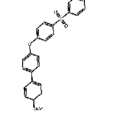 COC1C=CC(c2ccc(Oc3ccc(S(=O)(=O)c4ccc(C)cc4)cc3)cc2)=CC1